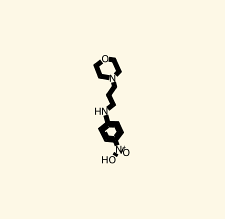 O=[N+](O)c1ccc(NCCCN2CCOCC2)cc1